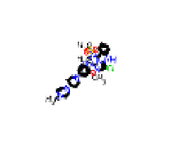 COc1cc(N2CCC(N3CCN(C)CC3)CC2)ccc1Nc1ncc(Cl)c(Nc2ccccc2CN(C)S(C)(=O)=O)n1